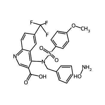 COc1ccc(S(=O)(=O)N(Cc2ccccc2)c2c(C(=O)O)cnc3ccc(C(F)(F)F)cc23)cc1.NO